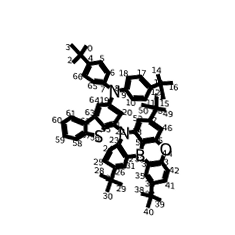 CC(C)(C)c1ccc(N(c2ccc(C(C)(C)C)cc2)c2cc(N3c4ccc(C(C)(C)C)cc4B4c5cc(C(C)(C)C)ccc5Oc5cc(C(C)(C)C)cc3c54)c3sc4ccccc4c3c2)cc1